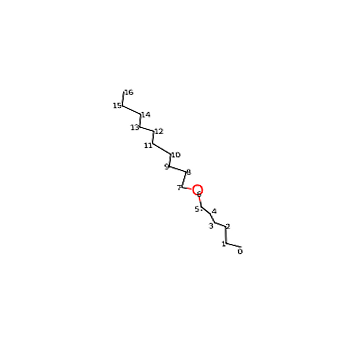 CCCCC[CH]OCCCCCCCCCC